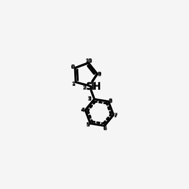 C1=C[SiH](c2ccccc2)C=C1